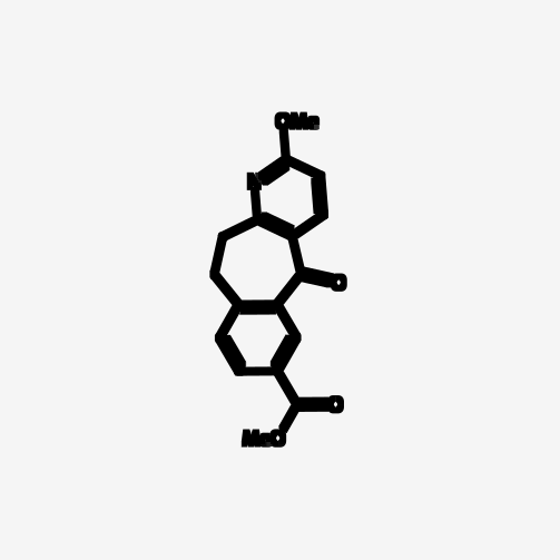 COC(=O)c1ccc2c(c1)C(=O)c1ccc(OC)nc1CC2